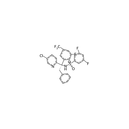 O=S(=O)(N[C@](Cc1ccccc1)(c1cc(F)cc(C(F)(F)F)c1)c1ccc(Cl)cn1)c1cc(F)cc(F)c1